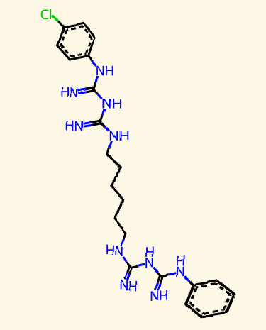 N=C(NCCCCCCNC(=N)NC(=N)Nc1ccc(Cl)cc1)NC(=N)Nc1ccccc1